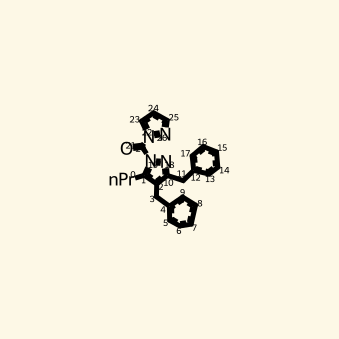 CCCc1c(Cc2ccccc2)c(Cc2ccccc2)nn1C(=O)n1cccn1